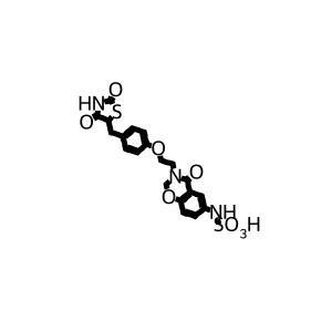 O=C1NC(=O)C(Cc2ccc(OCCN3COc4ccc(NS(=O)(=O)O)cc4C3=O)cc2)S1